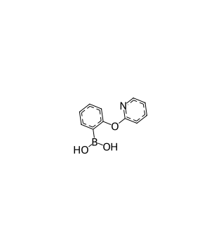 OB(O)c1ccccc1Oc1ccccn1